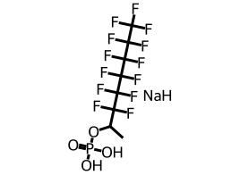 CC(OP(=O)(O)O)C(F)(F)C(F)(F)C(F)(F)C(F)(F)C(F)(F)C(F)(F)F.[NaH]